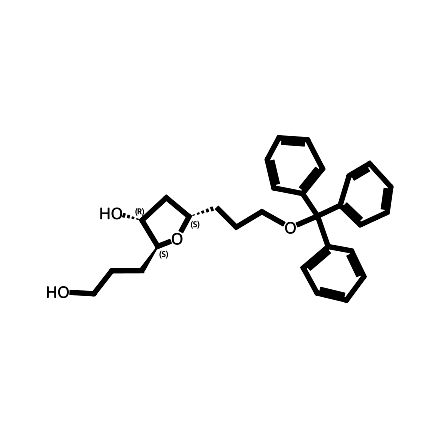 OCCC[C@@H]1O[C@@H](CCCOC(c2ccccc2)(c2ccccc2)c2ccccc2)C[C@H]1O